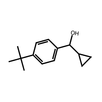 CC(C)(C)c1ccc(C(O)C2CC2)cc1